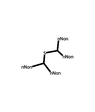 CCCCCCCCCC(CCCCCCCCC)SC(CCCCCCCCC)CCCCCCCCC